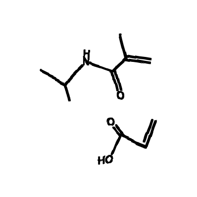 C=C(C)C(=O)NC(C)C.C=CC(=O)O